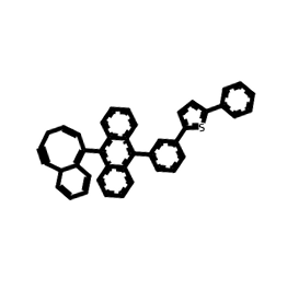 C1#CC2C=CC=C/C2=C(c2c3ccccc3c(-c3cccc(-c4ccc(-c5ccccc5)s4)c3)c3ccccc23)/C=C\C1